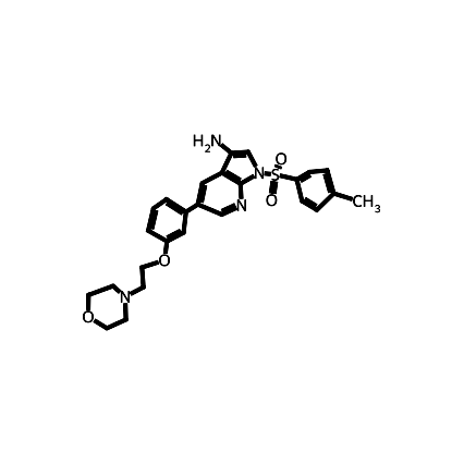 Cc1ccc(S(=O)(=O)n2cc(N)c3cc(-c4cccc(OCCN5CCOCC5)c4)cnc32)cc1